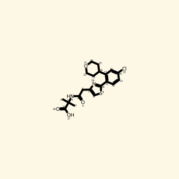 CC(C)(NC(=O)Cc1csc(-c2ccc(Cl)cc2C2CCOCC2)n1)C(=O)O